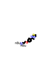 CCCCN(CCCC)CCCOc1ccc(-c2nc3sccn3c2C)cc1